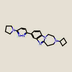 c1cc2c(cc1-c1ccc(N3CCCC3)nn1)nc1n2CCN(C2CCC2)CC1